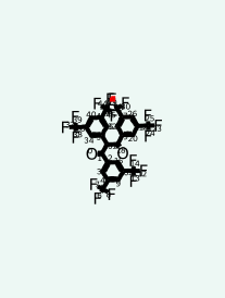 O=C(c1cc(C(F)(F)F)cc(C(F)(F)F)c1)C(C(=O)c1cc(C(F)(F)F)cc(C(F)(F)F)c1)c1cc(C(F)(F)F)cc(C(F)(F)F)c1